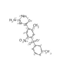 Cc1cc(S(=O)(=O)c2cccc(C(F)(F)F)c2)c([N+](=O)[O-])cc1C(=O)N=C(N)N